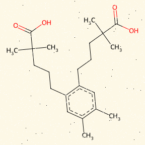 Cc1cc(CCCC(C)(C)C(=O)O)c(CCCC(C)(C)C(=O)O)cc1C